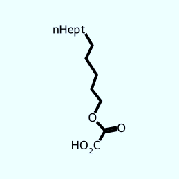 CCCCCCCCCCCCOC(=O)C(=O)O